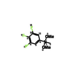 CO[Si](C)(OC)c1cc(F)c(F)c(F)c1